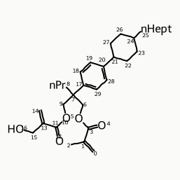 C=C(C)C(=O)OCC(CCC)(COC(=O)C(=C)CO)c1ccc(C2CCC(CCCCCCC)CC2)cc1